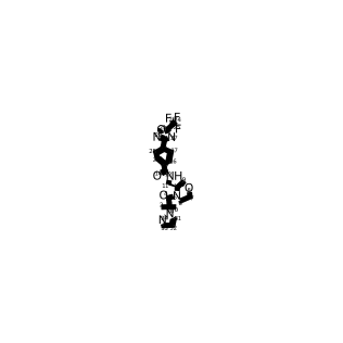 CC(C)(C(=O)N1CCOC[C@@H]1CNC(=O)c1ccc(-c2noc(C(F)(F)F)n2)cc1)n1cccn1